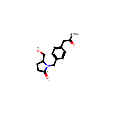 COC(=O)Cc1ccc(CN2C(=O)CCC2CO)cc1